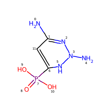 NC1=NN(N)NC(P(=O)(O)O)=C1